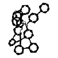 c1ccc(-c2ccc(N(c3ccc4c(c3)C3(c5ccccc5-c5ccccc5-4)c4ccccc4-c4cc5c(cc43)oc3ccccc35)c3cccc4oc5ccccc5c34)cc2)cc1